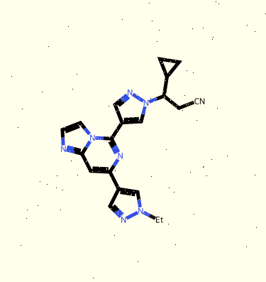 CCn1cc(-c2cc3nccn3c(-c3cnn(C(CC#N)C4CC4)c3)n2)cn1